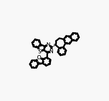 c1ccc2c(c1)-c1cc3ccccc3cc1CC[C@H]2c1nc(-c2cccc3c2oc2ccccc23)c2sc3ccccc3c2n1